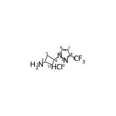 Cl.NC1CC(n2ccc(C(F)(F)F)n2)C1